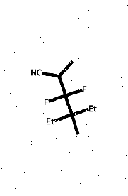 CCC(C)(CC)C(F)(F)C(C)C#N